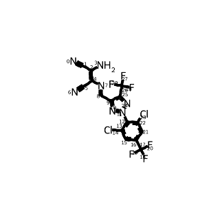 N#CC(N)=C(C#N)N=Cc1nn(-c2c(Cl)cc(C(F)(F)F)cc2Cl)nc1C(F)(F)F